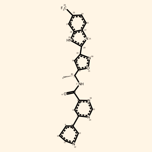 C[C@@H](NC(=O)c1cc(-c2cccnc2)ncn1)c1cc(-c2nc3ccc(C(F)(F)F)cc3[nH]2)no1